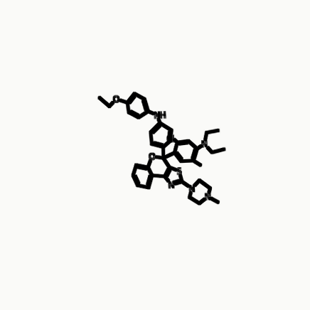 CCOc1ccc(Nc2ccc(C3(c4cc(C)c(N(CC)CC)cc4Cl)Oc4ccccc4-c4nc(N5CCN(C)CC5)sc43)cc2)cc1